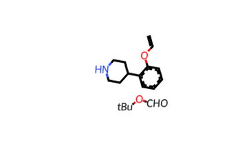 C=COc1ccccc1C1CCNCC1.CC(C)(C)OC=O